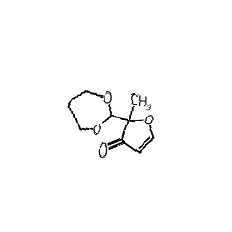 CC1(C2OCCCO2)OC=CC1=O